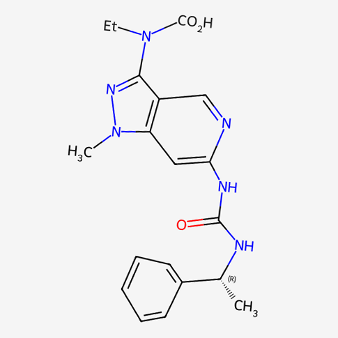 CCN(C(=O)O)c1nn(C)c2cc(NC(=O)N[C@H](C)c3ccccc3)ncc12